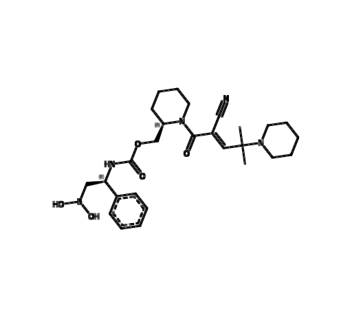 CC(C)(C=C(C#N)C(=O)N1CCCC[C@@H]1COC(=O)N[C@H](CB(O)O)c1ccccc1)N1CCCCC1